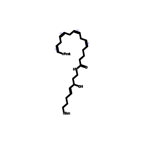 CCCCC/C=C\C/C=C\C/C=C\C/C=C\CCCC(=O)NCCC(O)C=CCCCCCCCCCCCCC